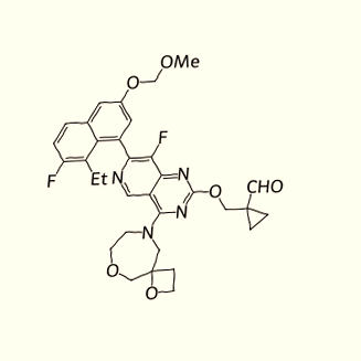 CCc1c(F)ccc2cc(OCOC)cc(-c3ncc4c(N5CCOCC6(CCO6)C5)nc(OCC5(C=O)CC5)nc4c3F)c12